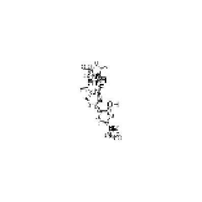 C=C(c1ccc(-c2ccc(-n3ccnn3)cc2O)nn1)[C@H]1C[C@]2(C)CC[C@@H](N2)[C@@H]1F